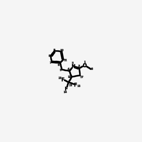 COC1=NC(Cc2ccccc2)C(C(F)(F)F)C1